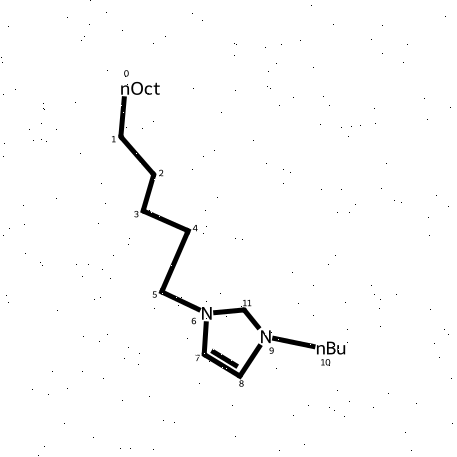 CCCCCCCCCCCCCN1C=CN(CCCC)C1